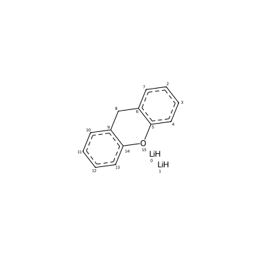 [LiH].[LiH].c1ccc2c(c1)Cc1ccccc1O2